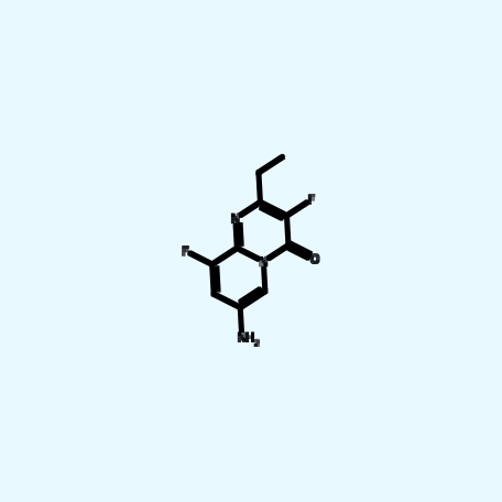 CCc1nc2c(F)cc(N)cn2c(=O)c1F